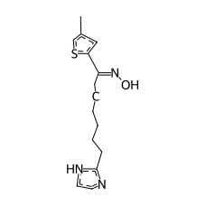 Cc1csc(C(CCCCCCc2ncc[nH]2)=NO)c1